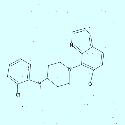 [O]c1ccc2cccnc2c1N1CCC(Nc2ccccc2Cl)CC1